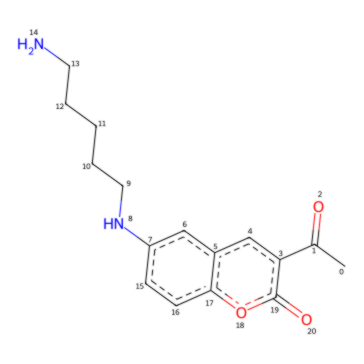 CC(=O)c1cc2cc(NCCCCCN)ccc2oc1=O